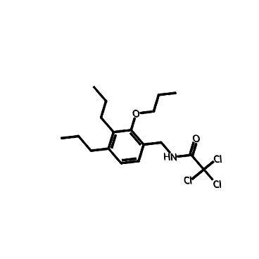 CCCOc1c(CNC(=O)C(Cl)(Cl)Cl)ccc(CCC)c1CCC